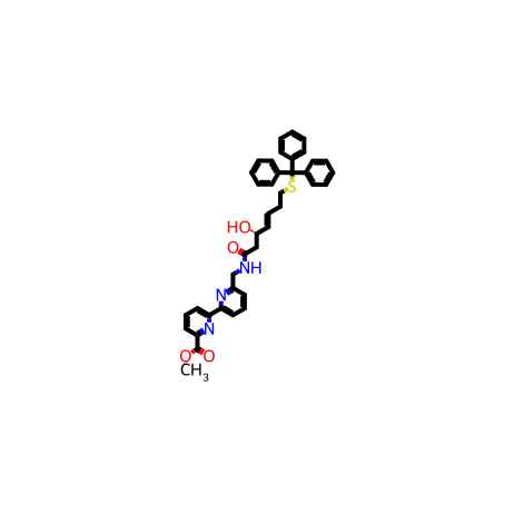 COC(=O)c1cccc(-c2cccc(CNC(=O)C[C@H](O)C=CCCSC(c3ccccc3)(c3ccccc3)c3ccccc3)n2)n1